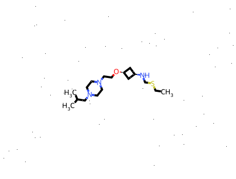 CCSCN[C@H]1C[C@H](OCCN2CCN(CC(C)C)CC2)C1